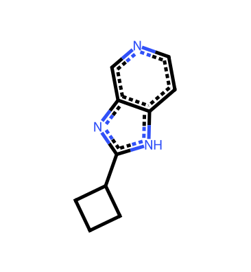 c1cc2[nH]c(C3CCC3)nc2cn1